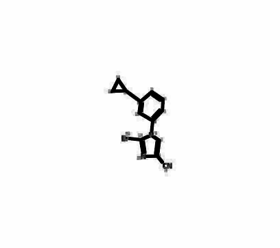 N#Cc1cn(-c2cccc(C3CC3)c2)c(Br)n1